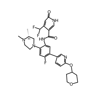 C[C@@H]1CN(c2cc(F)c(-c3ccc(OC4CCOCC4)nc3)cc2NC(=O)c2c[nH]c(=O)cc2C(F)F)CCN1C